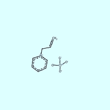 C=CC[n+]1ccccc1.[O-][Cl+3]([O-])([O-])[O-]